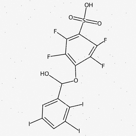 O=S(=O)(O)c1c(F)c(F)c(OC(O)c2cc(I)cc(I)c2I)c(F)c1F